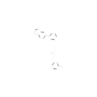 Cl.Fc1cccc(CCNCCOc2cccc(-c3ccc4[nH]cnc4c3)c2)c1